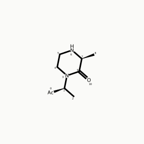 CC(=O)[C@H](C)N1CCN[C@@H](C)C1=O